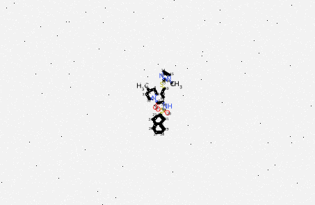 CC1CCN(C(=O)[C@H](CCCSc2nccn2C)NS(=O)(=O)c2ccc3ccccc3c2)CC1